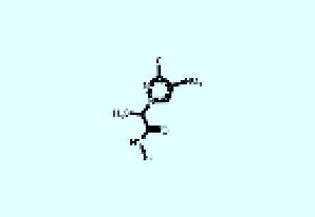 CCNC(=O)C(C)n1cc([N+](=O)[O-])c(Cl)n1